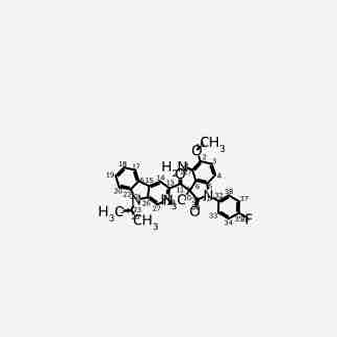 COc1ccc2c(c1N)[C@@](C)(C(=O)c1cc3c4ccccc4n(C(C)C)c3cn1)C(=O)N2c1ccc(F)cc1